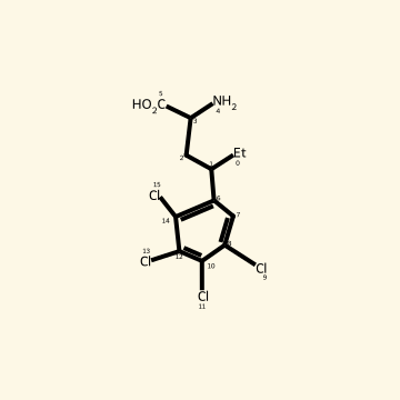 CCC(CC(N)C(=O)O)c1cc(Cl)c(Cl)c(Cl)c1Cl